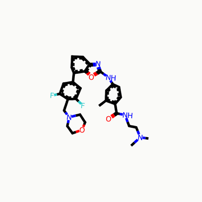 Cc1cc(Nc2nc3cccc(-c4cc(F)c(CN5CCOCC5)c(F)c4)c3o2)ccc1C(=O)NCCN(C)C